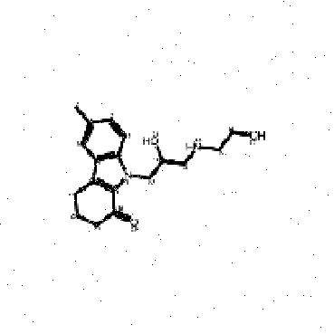 Cc1ccc2c(c1)c1c(n2CC(O)CNCCO)C(=O)CCC1